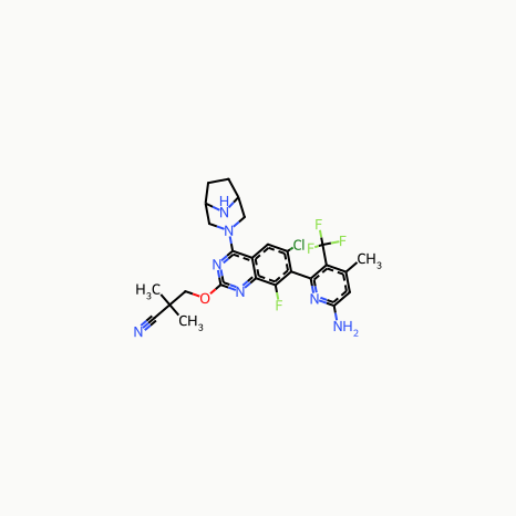 Cc1cc(N)nc(-c2c(Cl)cc3c(N4CC5CCC(C4)N5)nc(OCC(C)(C)C#N)nc3c2F)c1C(F)(F)F